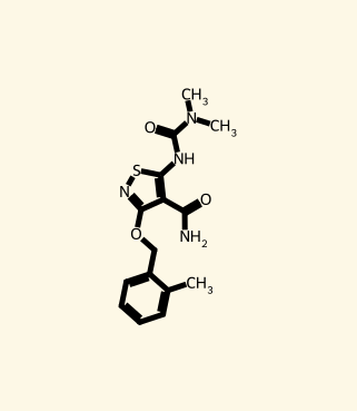 Cc1ccccc1COc1nsc(NC(=O)N(C)C)c1C(N)=O